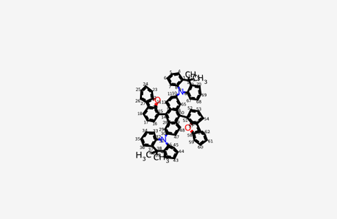 CC1(C)c2ccccc2N(c2ccc3c(-c4cccc5c4oc4ccccc45)c4cc(N5c6ccccc6C(C)(C)c6ccccc65)ccc4c(-c4cccc5c4oc4ccccc45)c3c2)c2ccccc21